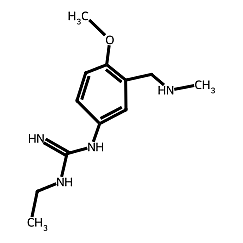 CCNC(=N)Nc1ccc(OC)c(CNC)c1